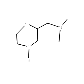 CC(C)N1CCOC(CN(C)C)C1